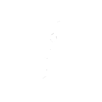 C=CCOc1ccc2c(c1)CCC(C1CCC3C[C@H](OC/C=C/C)CC[C@@H]3C1)C2